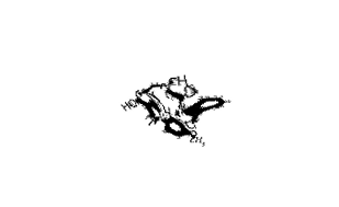 COc1ccc(-n2ncc3c(O)nc(CN(C)CC(=O)N(C)c4ccccc4Cl)nc32)cc1